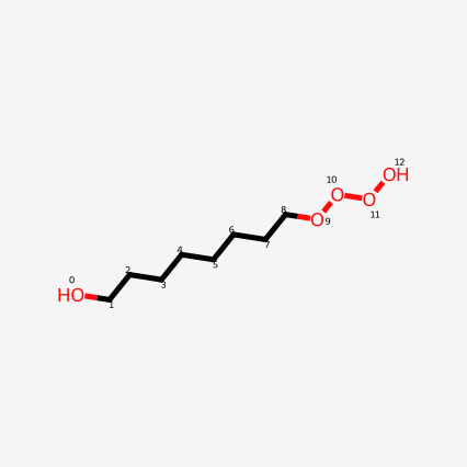 OCCCCCCCCOOOO